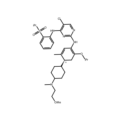 COCCN(C)C1CCC([C@@H]2CC(OC(C)C)=C(Nc3ncc(Cl)c(Nc4ccccc4S(=O)(=O)C(C)C)n3)C=C2C)CC1